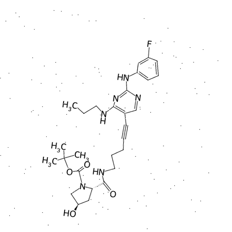 CCCNc1nc(Nc2cccc(F)c2)ncc1C#CCCCNC(=O)[C@@H]1C[C@@H](O)CN1C(=O)OC(C)(C)C